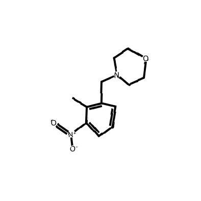 Cc1c(CN2CCOCC2)cccc1[N+](=O)[O-]